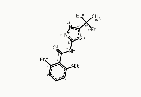 CCc1cccc(CC)c1C(=O)Nc1nnc(C(C)(CC)CC)s1